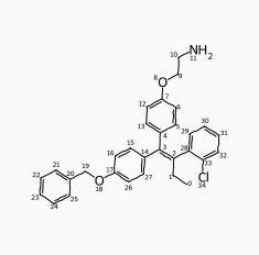 CCC(=C(c1ccc(OCCN)cc1)c1ccc(OCc2ccccc2)cc1)c1ccccc1Cl